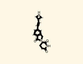 O=C1CCC(N2Cc3cc(C#CC4CNC4)ccc3C2=O)C(=O)N1